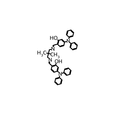 CC(C)(C/N=C/c1ccc(N(c2ccccc2)c2ccccc2)cc1O)C/N=C/c1ccc(N(c2ccccc2)c2ccccc2)cc1O